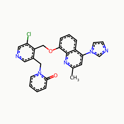 Cc1cc(-n2ccnc2)c2cccc(OCc3c(Cl)cncc3Cn3ccccc3=O)c2n1